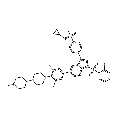 Cc1ccccc1S(=O)(=O)n1cc(-c2ccc(S(C)(=O)=NC3CC3)cc2)c2cc(-c3cc(C)c(N4CCN(C5CCN(C)CC5)CC4)c(C)c3)cnc21